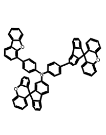 c1ccc2c(c1)Oc1ccccc1C21c2ccccc2-c2cc(-c3ccc(N(c4ccc(-c5cccc6c5oc5ccccc56)cc4)c4ccc5c(c4)C4(c6ccccc6Oc6ccccc64)c4ccccc4-5)cc3)ccc21